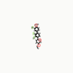 CCOC1CCC(c2ccc(-c3ccc(OC)c(F)c3)c(F)c2F)OC1